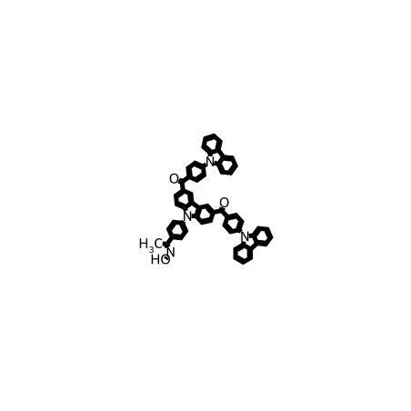 CC(=NO)c1ccc(-n2c3ccc(C(=O)c4ccc(-n5c6ccccc6c6ccccc65)cc4)cc3c3cc(C(=O)c4ccc(-n5c6ccccc6c6ccccc65)cc4)ccc32)cc1